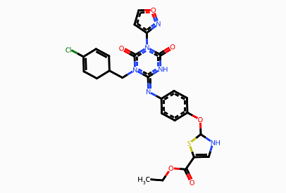 CCOC(=O)C1=CNC(Oc2ccc(/N=c3\[nH]c(=O)n(-c4ccon4)c(=O)n3CC3C=CC(Cl)=CC3)cc2)S1